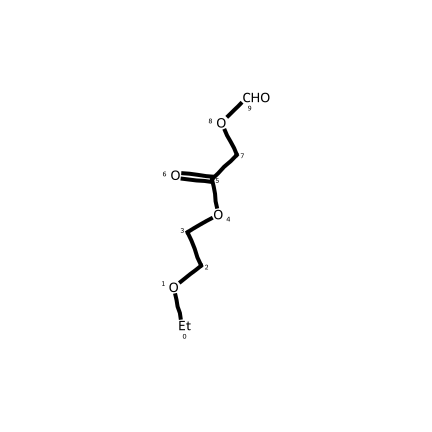 CCOCCOC(=O)COC=O